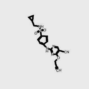 C#CCOc1nc(Nc2ccc(S(=O)(=O)NCC3CC3)cc2)ncc1C#N